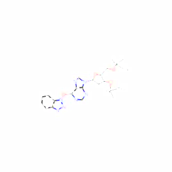 CC(C)(C)[Si](C)(C)OCC1OC(n2cnc3c(On4nnc5ccccc54)ncnc32)CC1O[Si](C)(C)C(C)(C)C